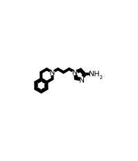 Nc1cn(CCCN2CCc3ccccc3C2)cn1